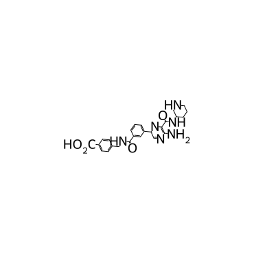 Nc1ncc(-c2cccc(C(=O)NCc3ccc(C(=O)O)cc3)c2)nc1C(=O)N[C@H]1CCCNC1